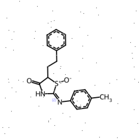 Cc1ccc(/N=C2/NC(=O)C(CCc3ccccc3)[S+]2[O-])cc1